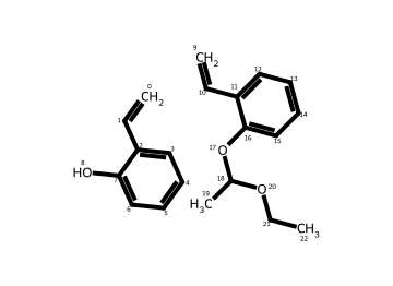 C=Cc1ccccc1O.C=Cc1ccccc1OC(C)OCC